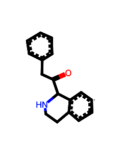 O=C(Cc1ccccc1)C1NCCc2cc[c]cc21